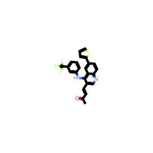 CC(=O)/C=C/c1cnc2ccc(-c3cccs3)cc2c1Nc1cccc(C(F)(F)F)c1